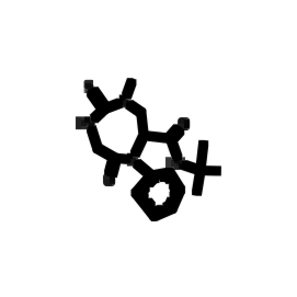 CN1CC(C(=O)NC(C)(C)C)N(c2ccccc2)C(=O)CNC1=S